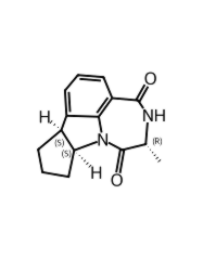 C[C@H]1NC(=O)c2cccc3c2N(C1=O)[C@H]1CCC[C@@H]31